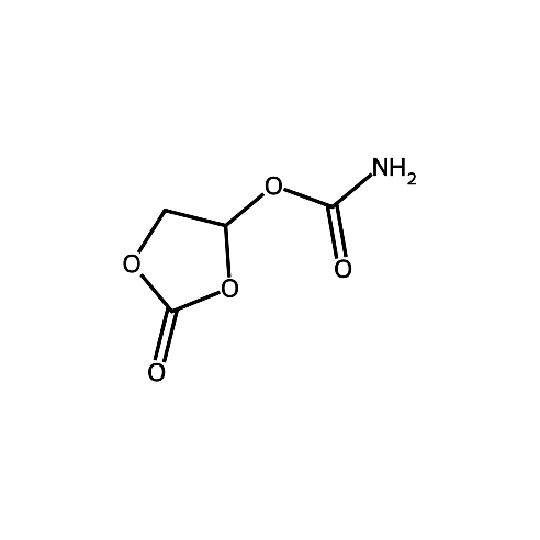 NC(=O)OC1COC(=O)O1